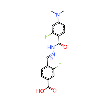 CN(C)c1ccc(C(=O)N/N=C/c2ccc(C(=O)O)cc2F)c(F)c1